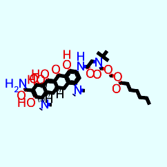 CCCCCCC(=O)OCOC(=O)N(CC(=O)Nc1cc(N(C)C)c2c(c1O)C(=O)C1=C(O)[C@]3(O)C(=O)C(C(N)=O)=C(O)[C@@H](N(C)C)[C@@H]3C[C@@H]1C2)C(C)(C)C